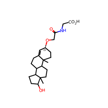 CC12CC[C@H](OCC(=O)NCC(=O)O)C=C1CCC1C2CCC2(C)C(O)CCC12